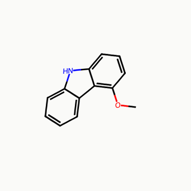 COc1cccc2[nH]c3ccccc3c12